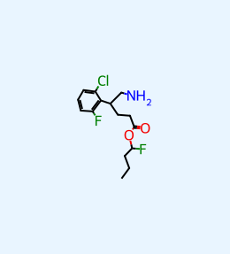 CCCC(F)OC(=O)CCC(CN)c1c(F)cccc1Cl